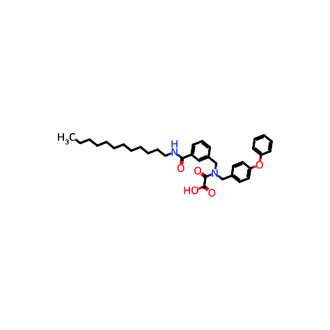 CCCCCCCCCCCCNC(=O)c1cccc(CN(Cc2ccc(Oc3ccccc3)cc2)C(=O)C(=O)O)c1